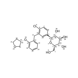 OC[C@H]1O[C@@H](c2ccc(Cl)c(Cc3ccccc3O[C@H]3CCOC3)c2)[C@H](O)[C@@H](O)[C@@H]1O